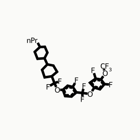 CCCC1CCC(C2CCC(C(F)(F)Oc3ccc(C(F)(F)Oc4cc(F)c(OC(F)(F)F)c(F)c4)c(F)c3)CC2)CC1